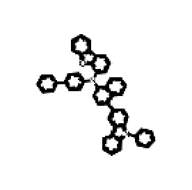 c1ccc(-c2ccc(N(c3ccc(-c4ccc5c(c4)c4ccccc4n5-c4ccccc4)c4ccccc34)c3cccc4c3oc3ccccc34)cc2)cc1